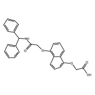 O=C(O)COc1cccc2c(OCC(=O)NC(c3ccccc3)c3ccccc3)cccc12